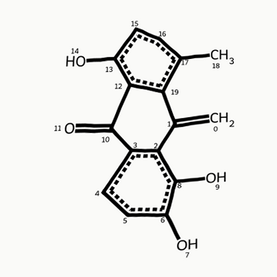 C=C1c2c(ccc(O)c2O)C(=O)c2c(O)ccc(C)c21